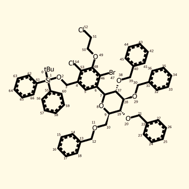 CC(C)(C)[Si](OCc1cc(C2O[C@H](COCc3ccccc3)[C@@H](OCc3ccccc3)[C@H](OCc3ccccc3)[C@H]2OCc2ccccc2)c(Br)c(OCCCl)c1Cl)(c1ccccc1)c1ccccc1